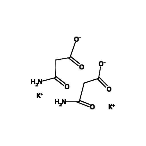 NC(=O)CC(=O)[O-].NC(=O)CC(=O)[O-].[K+].[K+]